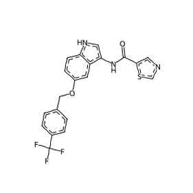 O=C(Nc1c[nH]c2ccc(OCc3ccc(C(F)(F)F)cc3)cc12)c1cncs1